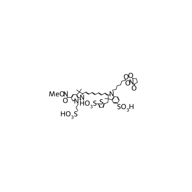 CON(C)C(=O)c1cc2c([n+](CCCS(=O)(=O)O)c1)N=C(/C=C/C=C/C=C/C=C1/N(CCCCCC(=O)ON3C(=O)CCC3=O)c3ccc(S(=O)(=O)O)cc3C1(C)Cc1ccc(S(=O)(=O)O)s1)C2(C)C